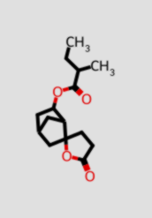 CCC(C)C(=O)OC1CC2CC1C1(CCC(=O)O1)C2